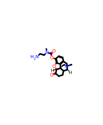 CN(CCN)C(=O)Oc1ccc2c3c1O[C@H]1C(=O)CCC4[C@@H](C2)N(C)CC[C@@]341